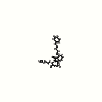 O=C(O)CC[C@@H](C(=O)[AsH2])N1C(=O)c2cccc(OCCOCc3ccccc3)c2C1=O